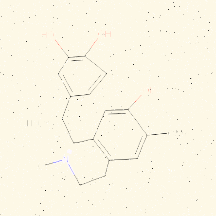 COc1cc2c(cc1O)[C@@H]([C@H](C)c1ccc(O)c(O)c1)N(C)CC2